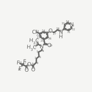 CC(C)N(CCCCCC(=O)OC(=O)C(F)(F)F)C(=O)c1cc(Cl)cc(OCCNc2ccncc2)c1